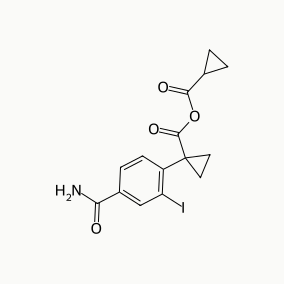 NC(=O)c1ccc(C2(C(=O)OC(=O)C3CC3)CC2)c(I)c1